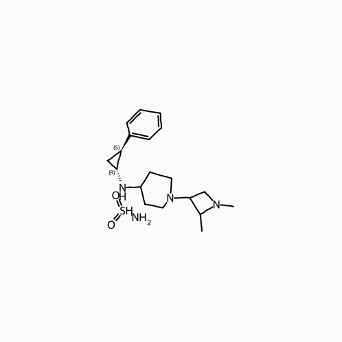 CC1C(N2CCC(N[C@@H]3C[C@H]3c3ccccc3)CC2)CN1C.N[SH](=O)=O